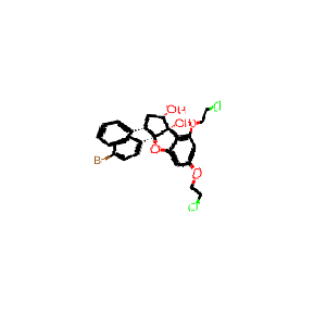 O[C@H]1C[C@@H](c2ccccc2)[C@]2(c3ccc(Br)cc3)Oc3cc(OCCCl)cc(OCCCl)c3[C@]12O